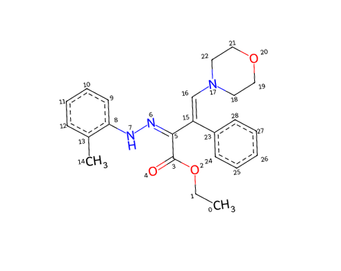 CCOC(=O)C(=NNc1ccccc1C)C(=CN1CCOCC1)c1ccccc1